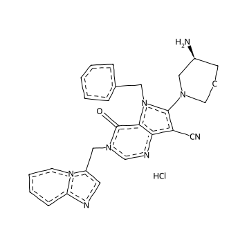 Cl.N#Cc1c(N2CCC[C@H](N)C2)n(Cc2ccccc2)c2c(=O)n(Cc3cnc4ccccn34)cnc12